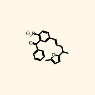 Cc1ccc(C(C)CC=Cc2ccc([N+](=O)[O-])c(C(=O)c3ccccc3)c2)o1